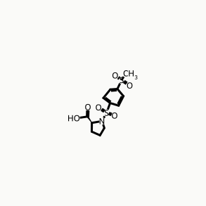 CS(=O)(=O)c1ccc(S(=O)(=O)N2CCC[C@H]2C(=O)O)cc1